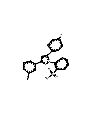 NS(=O)(=O)c1ccccc1-n1nc(-c2cccc(F)c2)cc1-c1ccc(Cl)cc1